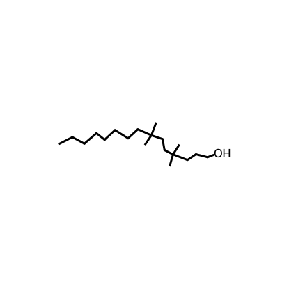 CCCCCCCCC(C)(C)CCC(C)(C)CCCO